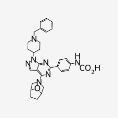 O=C(O)Nc1ccc(-c2nc(N3CC4CCC(C3)O4)c3cnn(C4CCN(Cc5ccccc5)CC4)c3n2)cc1